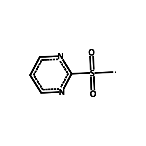 [CH2]S(=O)(=O)c1ncccn1